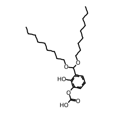 CCCCCCCCCOC(OCCCCCCCCC)c1cccc(OC(=O)O)c1O